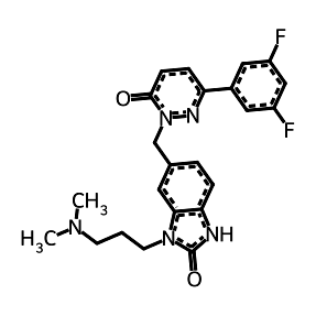 CN(C)CCCn1c(=O)[nH]c2ccc(Cn3nc(-c4cc(F)cc(F)c4)ccc3=O)cc21